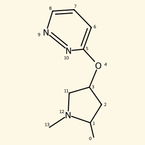 CC1CC(Oc2cccnn2)CN1C